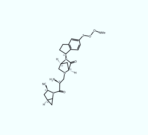 CNOOSc1ccc2c(c1)CC[C@@H]2N1C(=O)[C@@H]2C[C@H]1CN2C[C@H](N)C(=O)N1C2C[C@H]2C[C@H]1C#N